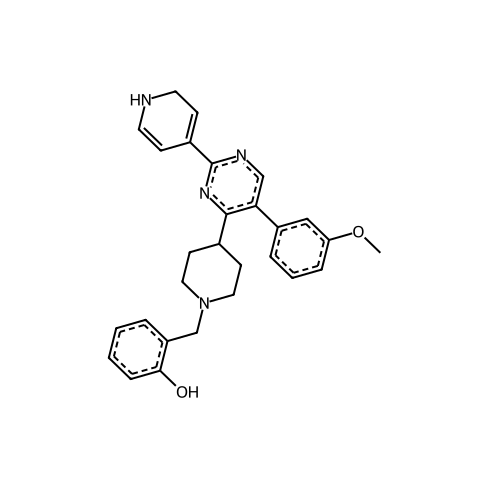 COc1cccc(-c2cnc(C3=CCNC=C3)nc2C2CCN(Cc3ccccc3O)CC2)c1